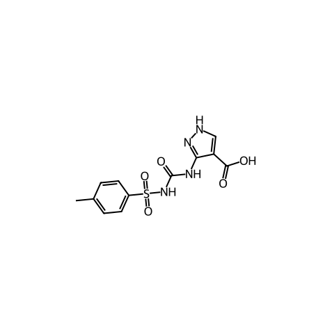 Cc1ccc(S(=O)(=O)NC(=O)Nc2n[nH]cc2C(=O)O)cc1